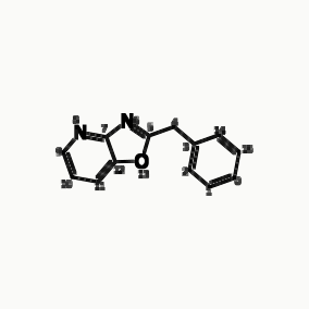 c1ccc(Cc2nc3ncccc3o2)cc1